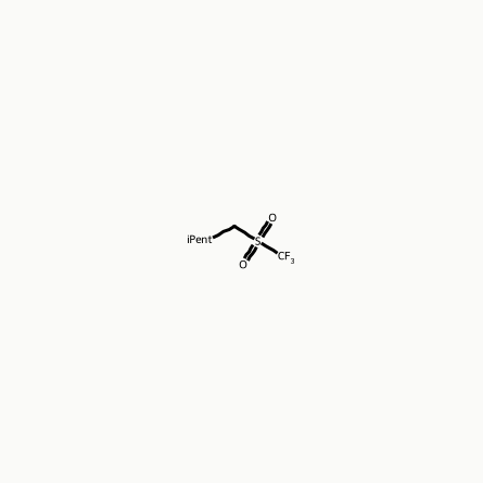 CCCC(C)CS(=O)(=O)C(F)(F)F